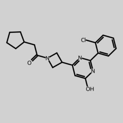 O=C(CC1CCCC1)N1CC(c2cc(O)nc(-c3ccccc3Cl)n2)C1